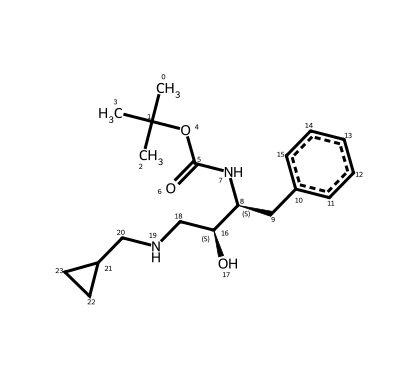 CC(C)(C)OC(=O)N[C@@H](Cc1ccccc1)[C@@H](O)CNCC1CC1